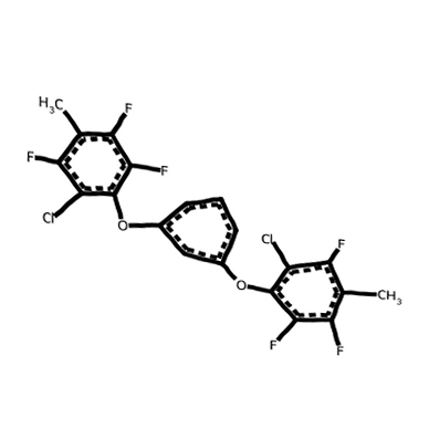 Cc1c(F)c(F)c(Oc2cccc(Oc3c(F)c(F)c(C)c(F)c3Cl)c2)c(Cl)c1F